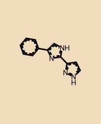 c1ccc(-c2c[nH]c(-c3cc[nH]n3)n2)cc1